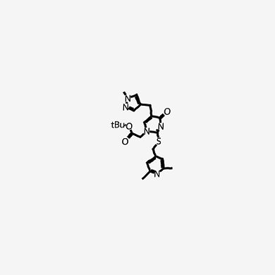 Cc1cc(CSc2nc(=O)c(Cc3cnn(C)c3)cn2CC(=O)OC(C)(C)C)cc(C)n1